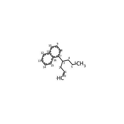 [CH]=CCC(CCC)c1cccc2ccccc12